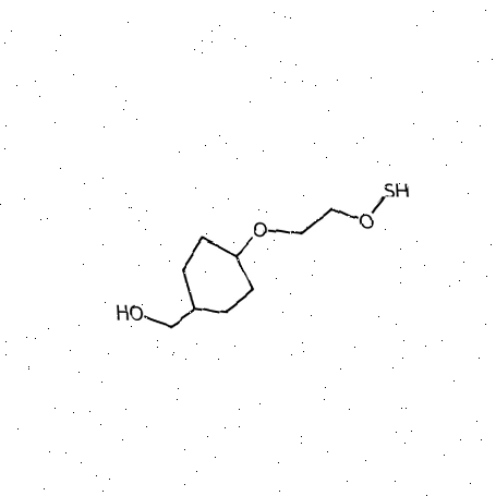 OCC1CCC(OCCOS)CC1